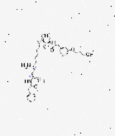 CN1N=C(CCCC/C(N)=C/C=C(\N)NC(=O)Cc2ccccc2)SC1NC(=O)Cc1cccc(OCCCO)c1